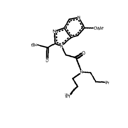 COc1cc2c(cn1)nc(C(=O)C(C)(C)C)n2CC(=O)N(CCC(C)C)CCC(C)C